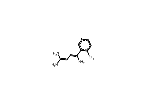 NC(N)=C/C=C(\N)c1cnccc1C(F)(F)F